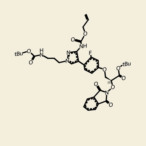 C=CCOC(=O)Nc1nn(CCCNC(=O)OC(C)(C)C)cc1-c1ccc(OC[C@H](ON2C(=O)c3ccccc3C2=O)C(=O)OC(C)(C)C)cc1F